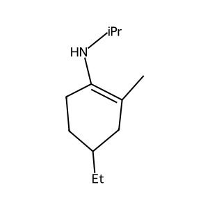 CCC1CCC(NC(C)C)=C(C)C1